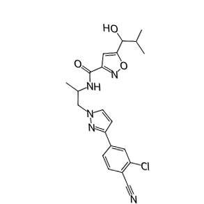 CC(Cn1ccc(-c2ccc(C#N)c(Cl)c2)n1)NC(=O)c1cc(C(O)C(C)C)on1